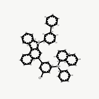 Clc1cc(-c2cc3c(c4ccccc24)c2ccccc2n3-c2cccc(-c3ccccc3)c2)cc(N(c2ccccc2)c2cccc3ccccc23)c1